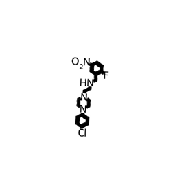 O=[N+]([O-])c1ccc(F)c(CNCCN2CCN(c3ccc(Cl)cc3)CC2)c1